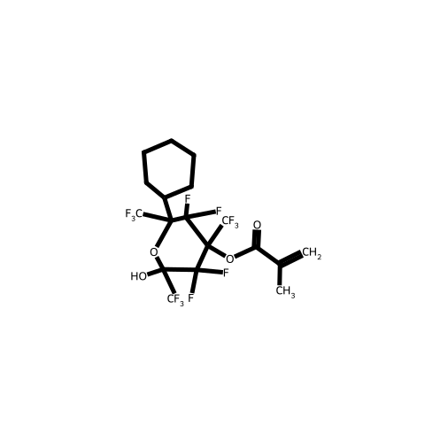 C=C(C)C(=O)OC1(C(F)(F)F)C(F)(F)C(O)(C(F)(F)F)OC(C2CCCCC2)(C(F)(F)F)C1(F)F